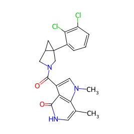 Cc1c[nH]c(=O)c2c(C(=O)N3CC4CC4(c4cccc(Cl)c4Cl)C3)cn(C)c12